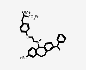 CCCCc1ccc2c(c1)CCc1cc(C(C)c3ccccc3)ccc1C2N(C)CCOc1ccc(CC(OC)C(=O)OCC)cc1